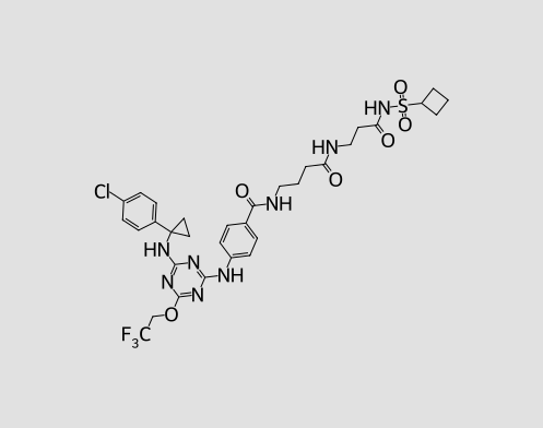 O=C(CCCNC(=O)c1ccc(Nc2nc(NC3(c4ccc(Cl)cc4)CC3)nc(OCC(F)(F)F)n2)cc1)NCCC(=O)NS(=O)(=O)C1CCC1